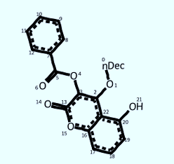 CCCCCCCCCCOc1c(OC(=O)c2ccccc2)c(=O)oc2cccc(O)c12